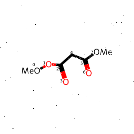 COOC(=O)CC(=O)OC